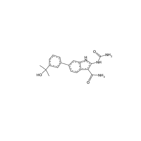 CC(C)(O)c1cccc(-c2ccc3c(C(N)=O)c(NC(N)=O)[nH]c3c2)c1